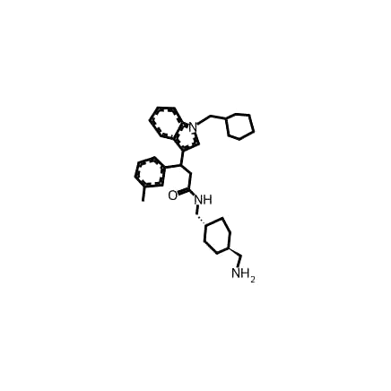 Cc1cccc(C(CC(=O)NC[C@H]2CC[C@H](CN)CC2)c2cn(CC3CCCCC3)c3ccccc23)c1